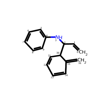 C=CC(Nc1ccccc1)C1C=CC=CC1=C